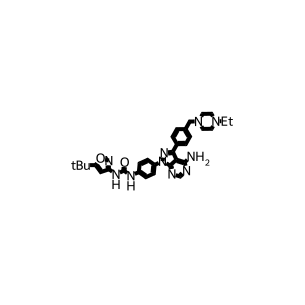 CCN1CCN(Cc2ccc(-c3nn(-c4ccc(NC(=O)Nc5cc(C(C)(C)C)on5)cc4)c4ncnc(N)c34)cc2)CC1